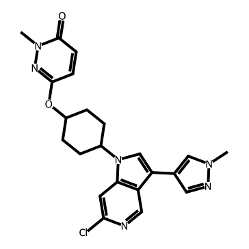 Cn1cc(-c2cn(C3CCC(Oc4ccc(=O)n(C)n4)CC3)c3cc(Cl)ncc23)cn1